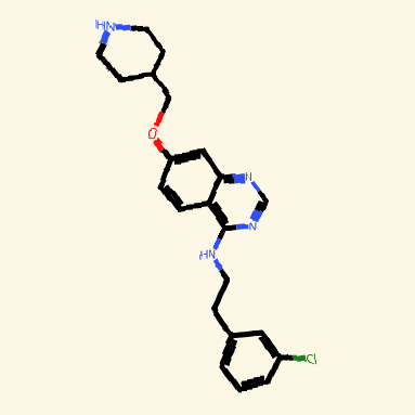 Clc1cccc(CCNc2ncnc3cc(OCC4CCNCC4)ccc23)c1